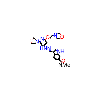 CNC(=O)c1ccc2c(/C=N/Nc3cc(OCCN4CCOCC4)nc(N4CCOCC4)c3)c[nH]c2c1